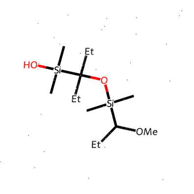 CCC(OC)[Si](C)(C)OC(CC)(CC)[Si](C)(C)O